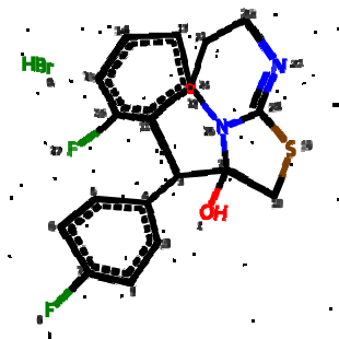 Br.OC1(C(c2ccc(F)cc2)c2ccccc2F)CSC2=NCCCN21